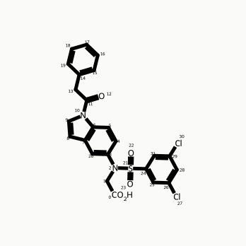 O=C(O)CN(c1ccc2c(ccn2C(=O)Cc2ccccc2)c1)S(=O)(=O)c1cc(Cl)cc(Cl)c1